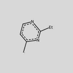 [CH2]c1ccnc(CC)n1